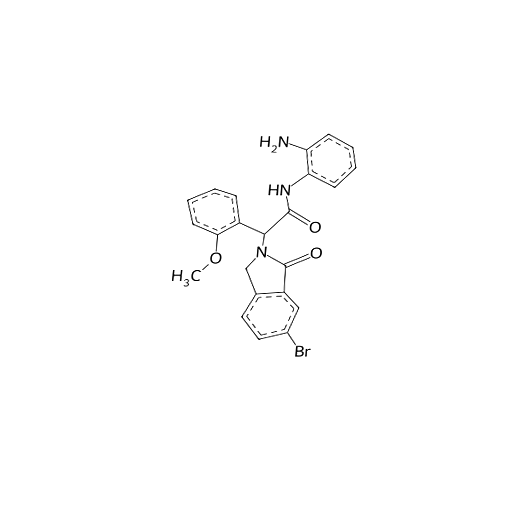 COc1ccccc1C(C(=O)Nc1ccccc1N)N1Cc2ccc(Br)cc2C1=O